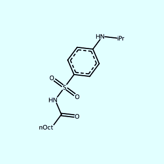 CCCCCCCCC(=O)NS(=O)(=O)c1ccc(NC(C)C)cc1